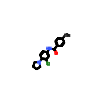 CC(C)(C)c1ccc(C(=O)Nc2ccc(N3CCCC3)c(Cl)c2)cc1